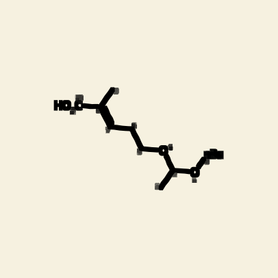 CCCCOC(C)OCCC=C(C)C(=O)O